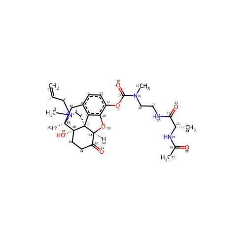 C=CC[N+]1(C)CC[C@]23c4c5ccc(OC(=O)N(C)CCNC(=O)[C@H](C)NC(C)=O)c4O[C@H]2C(=O)CC[C@@]3(O)[C@H]1C5